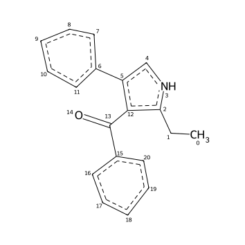 CCc1[nH]cc(-c2ccccc2)c1C(=O)c1ccccc1